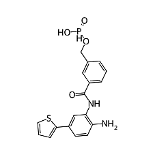 Nc1ccc(-c2cccs2)cc1NC(=O)c1cccc(CO[PH](=O)O)c1